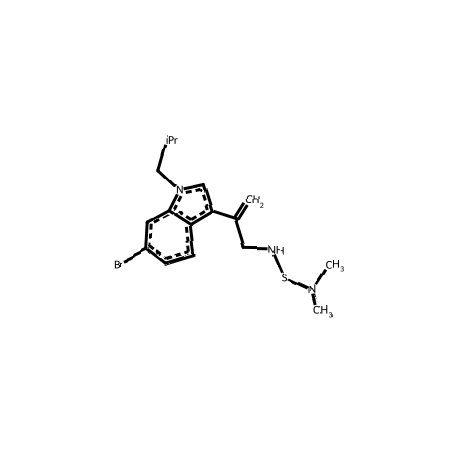 C=C(CNSN(C)C)c1cn(CC(C)C)c2cc(Br)ccc12